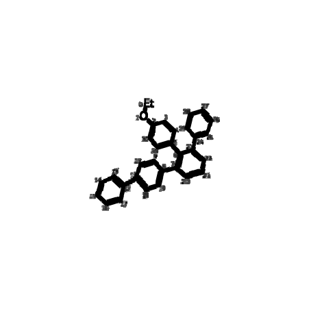 CCOc1ccc(-c2c(-c3ccc(-c4ccccc4)cc3)[c]ccc2-c2ccccc2)cc1